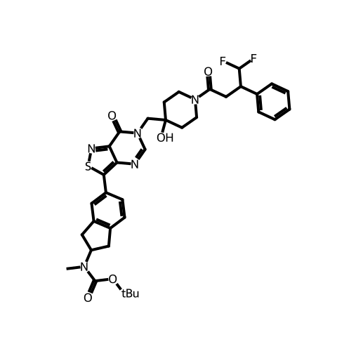 CN(C(=O)OC(C)(C)C)C1Cc2ccc(-c3snc4c(=O)n(CC5(O)CCN(C(=O)CC(c6ccccc6)C(F)F)CC5)cnc34)cc2C1